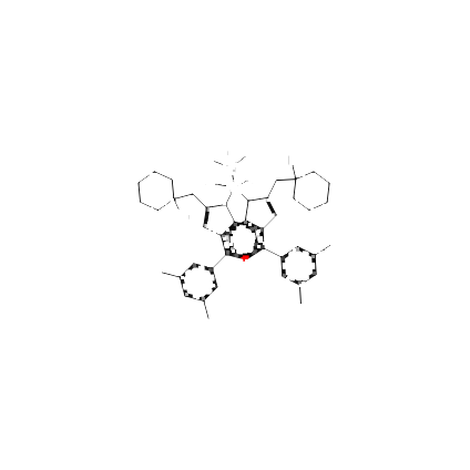 CCC1(CC2=Cc3c(-c4cc(C)cc(C)c4)cccc3[CH]2[Zr]([Cl])([Cl])([CH]2C(CC3(CC)CCCCC3)=Cc3c(-c4cc(C)cc(C)c4)cccc32)[SiH](C)C)CCCCC1